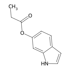 CCC(=O)Oc1ccc2cc[nH]c2c1